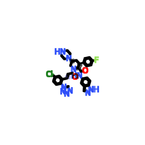 O=C(Nc1ccc2[nH]ncc2c1)[C@@H]1[C@H](c2ccc(F)cc2)C[C@H](N2CCNCC2)CN1C(=O)/C=C/c1cc(Cl)ccc1-n1cnnn1